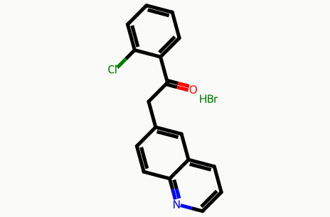 Br.O=C(Cc1ccc2ncccc2c1)c1ccccc1Cl